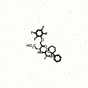 C[C@H](NC1(c2ccccc2)CCCCO1)C(=O)N[C@@H](CC(=O)O)C(=O)COc1c(F)c(F)cc(F)c1F